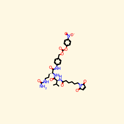 CC(C)[C@H](NC(=O)CCCCCN1C(=O)C=CC1=O)C(=O)N[C@H](CCCNC(N)=O)C(=O)Nc1ccc(COC(=O)Oc2ccc([N+](=O)[O-])cc2)cc1